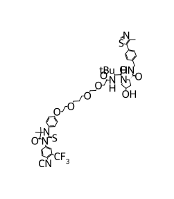 Cc1ncsc1-c1ccc(CNC(=O)[C@@H]2C[C@@H](O)CN2C(=O)C(NC(=O)COCCOCCCOCCOc2ccc(N3C(=S)N(c4ccc(C#N)c(C(F)(F)F)c4)C(=O)C3(C)C)cc2)C(C)(C)C)cc1